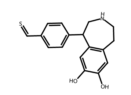 Oc1cc2c(cc1O)C(c1ccc(C=S)cc1)CNCC2